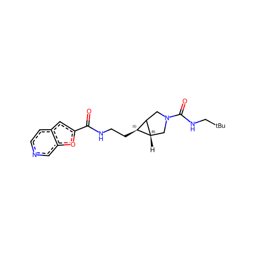 CC(C)(C)CNC(=O)N1CC2[C@H](CCNC(=O)c3cc4ccncc4o3)[C@H]2C1